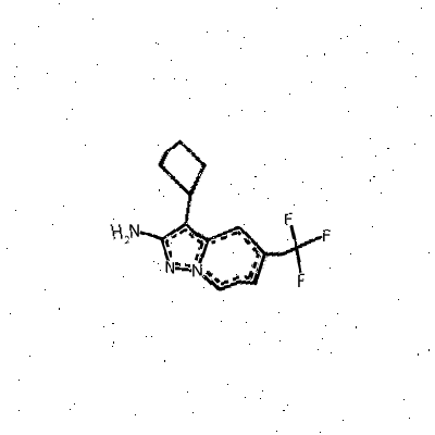 Nc1nn2ccc(C(F)(F)F)cc2c1C1CCC1